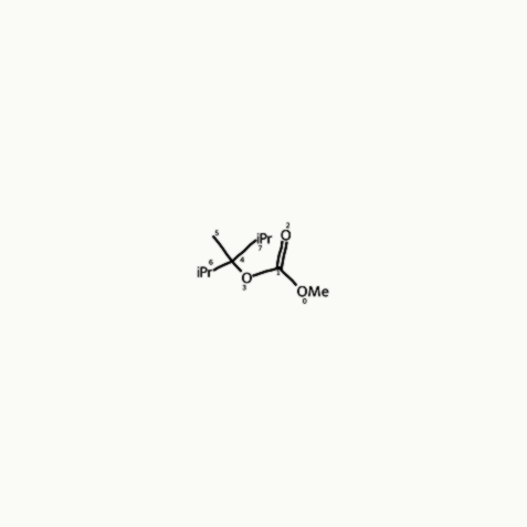 COC(=O)OC(C)(C(C)C)C(C)C